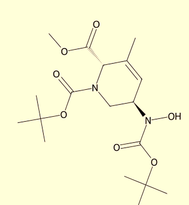 COC(=O)[C@@H]1C(C)=C[C@@H](N(O)C(=O)OC(C)(C)C)CN1C(=O)OC(C)(C)C